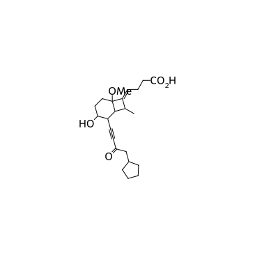 COC12CCC(O)C(C#CC(=O)CC3CCCC3)C1C(C)C2=CCCC(=O)O